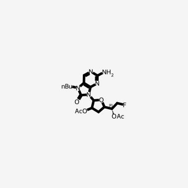 CCCCn1c(=O)n(C2OC([C@H](CF)OC(C)=O)CC2OC(C)=O)c2nc(N)ncc21